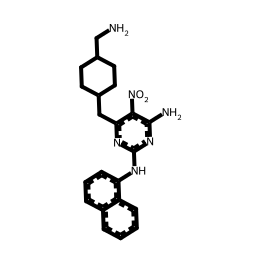 NCC1CCC(Cc2nc(Nc3cccc4ccccc34)nc(N)c2[N+](=O)[O-])CC1